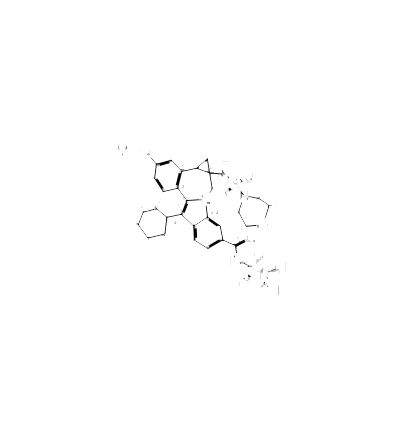 COc1ccc2c(c1)C1CC1(NS(=O)(=O)N1CCOCC1)Cn1c-2c(C2CCCCC2)c2ccc(C(=O)NS(=O)(=O)N(C)C)cc21